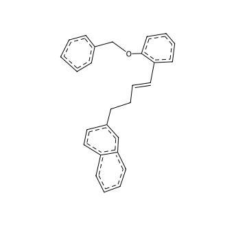 C(=Cc1ccccc1OCc1ccccc1)CCc1ccc2ccccc2c1